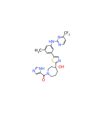 Cc1cc(Nc2nccc(C(F)(F)F)n2)cc(-c2cnc([C@@]3(O)CCCN(C(=O)c4cnc[nH]4)CC3)s2)c1